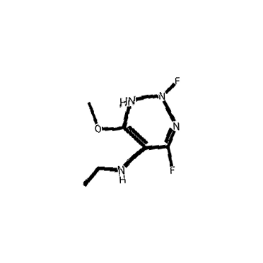 CCNC1=C(OC)NN(F)N=C1F